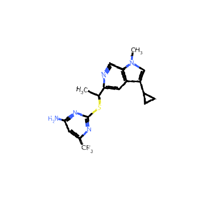 CC(Sc1nc(N)cc(C(F)(F)F)n1)c1cc2c(C3CC3)cn(C)c2cn1